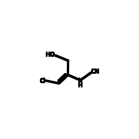 N#CNC(=CCl)CO